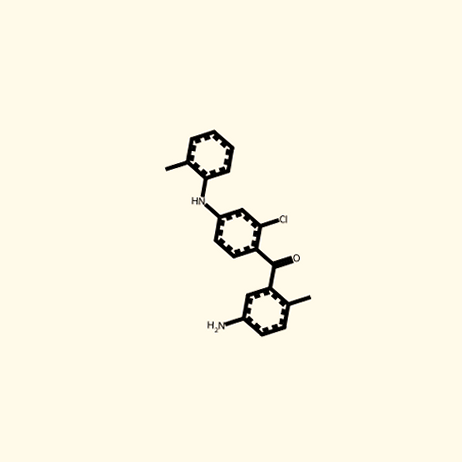 Cc1ccccc1Nc1ccc(C(=O)c2cc(N)ccc2C)c(Cl)c1